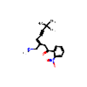 CNC/C(=C/C#CC(C)(C)C)CC(=O)c1ccccc1[N+](=O)[O-]